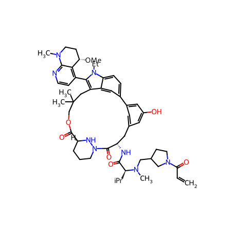 C=CC(=O)N1CCC(CN(C)[C@H](C(=O)N[C@H]2Cc3cc(O)cc(c3)-c3ccc4c(c3)c(c(-c3ccnc5c3[C@@H](OC)CCN5C)n4CC)CC(C)(C)COC(=O)[C@@H]3CCCN(N3)C2=O)C(C)C)C1